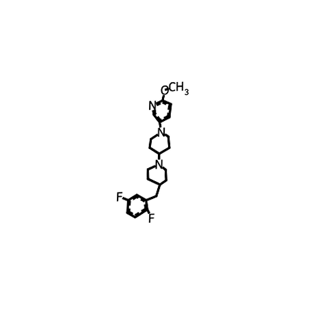 COc1ccc(N2CCC(N3CCC(Cc4cc(F)ccc4F)CC3)CC2)cn1